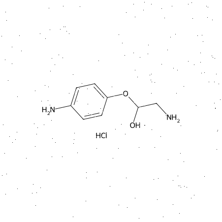 Cl.NCC(O)Oc1ccc(N)cc1